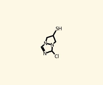 SC1CN2C=NC(Cl)N2C1